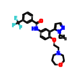 Cn1nccc1-c1cc(NC(=O)c2cccc(C(F)(F)F)c2)ccc1OCCN1CCCOCC1